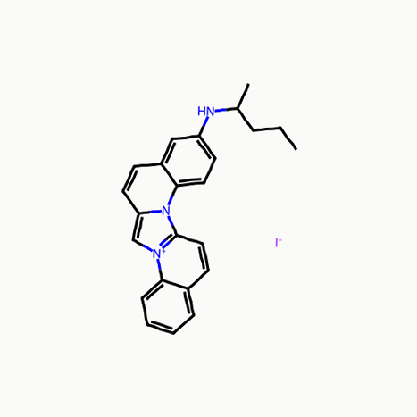 CCCC(C)Nc1ccc2c(ccc3c[n+]4c5ccccc5ccc4n32)c1.[I-]